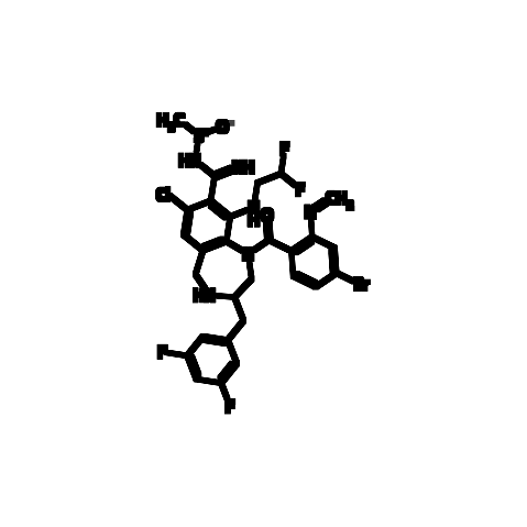 C=Nc1cc(Br)ccc1C(=O)N1CC(Cc2cc(F)cc(F)c2)NCc2cc(Cl)c(C(=N)N[S+](C)[O-])c(NCC(F)F)c21